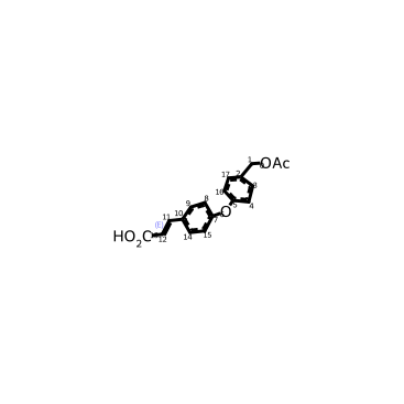 CC(=O)OCc1ccc(Oc2ccc(/C=C/C(=O)O)cc2)cc1